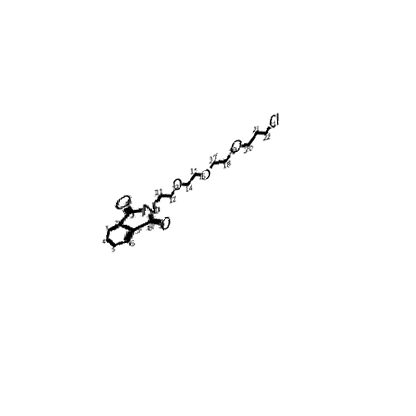 O=C1c2ccccc2C(=O)N1CCOCCOCCOCCCCl